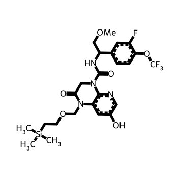 COCC(NC(=O)N1CC(=O)N(COCC[Si](C)(C)C)c2cc(O)cnc21)c1ccc(OC(F)(F)F)c(F)c1